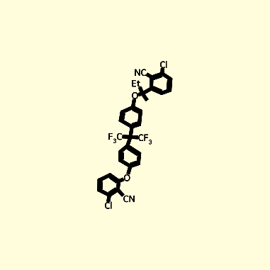 CCC(C)(Oc1ccc(C(c2ccc(Oc3cccc(Cl)c3C#N)cc2)(C(F)(F)F)C(F)(F)F)cc1)c1cccc(Cl)c1C#N